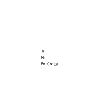 [Co].[Cu].[Fe].[Ir].[Ni]